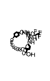 O=C(O)c1ccc2cc1OCCCCCCOc1ccc(cc1)CNC1=NC(OCC(F)(F)F)NC(=N1)N2